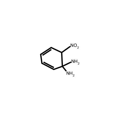 NC1(N)C=CC=CC1[N+](=O)[O-]